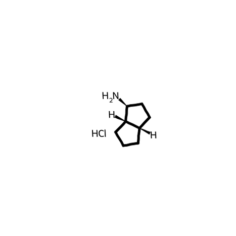 Cl.N[C@H]1CC[C@@H]2CCC[C@@H]21